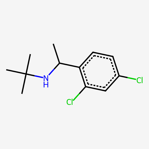 CC(NC(C)(C)C)c1ccc(Cl)cc1Cl